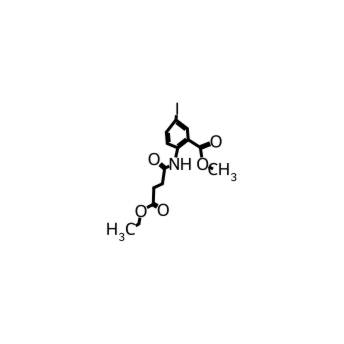 CCOC(=O)CCC(=O)Nc1ccc(I)cc1C(=O)OC